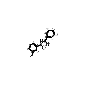 Cc1cccc(-c2nc(-c3ccccc3)no2)c1